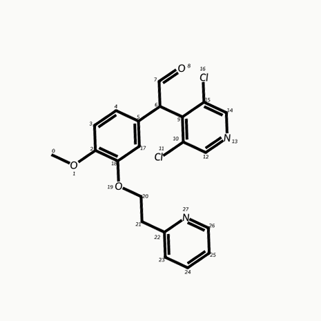 COc1ccc(C(C=O)c2c(Cl)cncc2Cl)cc1OCCc1ccccn1